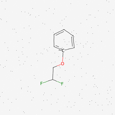 FC(F)CO[12c]1ccccc1